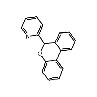 c1ccc(C2Oc3ccccc3-c3ccccc32)nc1